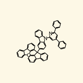 c1ccc(-c2cc(-c3ccccc3)nc(-n3c4ccccc4c4cc(C5(c6cccc7c6oc6ccccc67)c6ccccc6-c6ccccc65)ccc43)c2)cc1